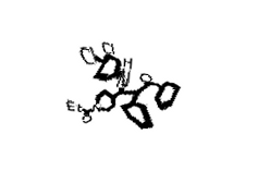 CCC(=O)N1CCC(C(Nc2ccc(Cl)c(Cl)c2)C(C(=O)c2ccccc2)c2ccccc2)CC1